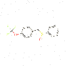 [O-][S+](Cc1ccc(OC(F)(F)F)cc1)c1ccccc1